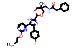 CCCOc1nccc(-c2[nH]c(C3OCC(C)(CNC(=O)Cc4ccccc4)CO3)nc2-c2ccc(F)cc2)n1